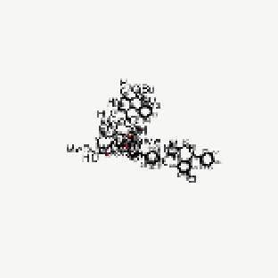 CCN1C[C@]2(COC)[C@H](O)C[C@H](OC)[C@]34C1[C@H]([C@H](OC)[C@H]23)[C@]1(OC(C)=O)[C@H]2[C@@H](OC(=O)c3ccccc3)[C@](O)(C[C@H]24)[C@@H](OC)[C@@H]1O.COC(=O)C1=C(C)NC(C)=C(C(=O)OCC(C)C)C1c1ccccc1[N+](=O)[O-].Cc1nnc2n1-c1ccc(Cl)cc1C(c1ccccc1)=NC2